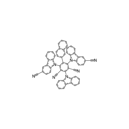 N#Cc1ccc2c(c1)c1ccccc1n2-c1c(C#N)c(-n2c3ccccc3c3ccccc32)c(C#N)c(-n2c3ccccc3c3cc(C#N)ccc32)c1-c1ccc2ccccc2c1